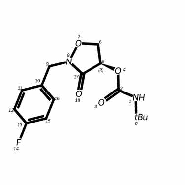 CC(C)(C)NC(=O)O[C@@H]1CON(Cc2ccc(F)cc2)C1=O